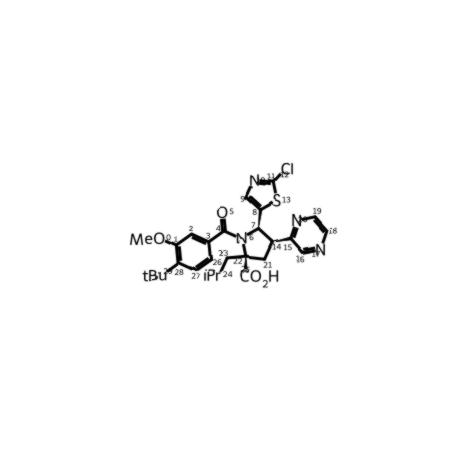 COc1cc(C(=O)N2[C@@H](c3cnc(Cl)s3)[C@@H](c3cnccn3)C[C@@]2(CC(C)C)C(=O)O)ccc1C(C)(C)C